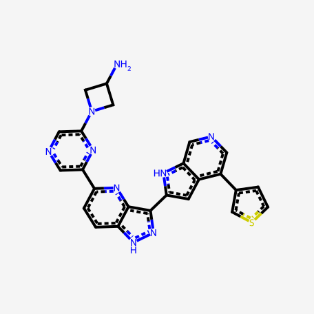 NC1CN(c2cncc(-c3ccc4[nH]nc(-c5cc6c(-c7ccsc7)cncc6[nH]5)c4n3)n2)C1